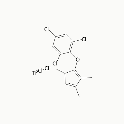 CC1=CC(C)C(Oc2c(Cl)cc(Cl)cc2Cl)=C1C.[Cl-].[Cl-].[Ti+2]